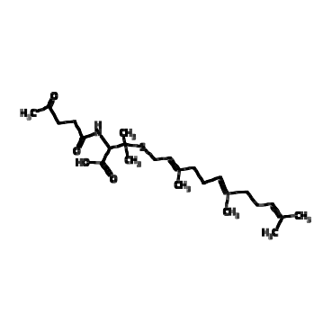 CC(=O)CCC(=O)NC(C(=O)O)C(C)(C)SC/C=C(\C)CC/C=C(\C)CCC=C(C)C